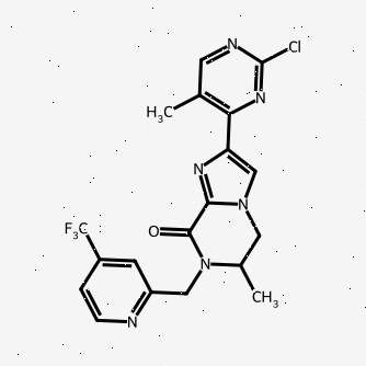 Cc1cnc(Cl)nc1-c1cn2c(n1)C(=O)N(Cc1cc(C(F)(F)F)ccn1)C(C)C2